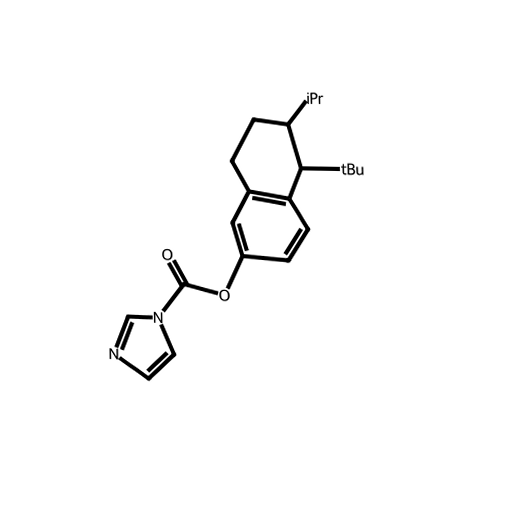 CC(C)C1CCc2cc(OC(=O)n3ccnc3)ccc2C1C(C)(C)C